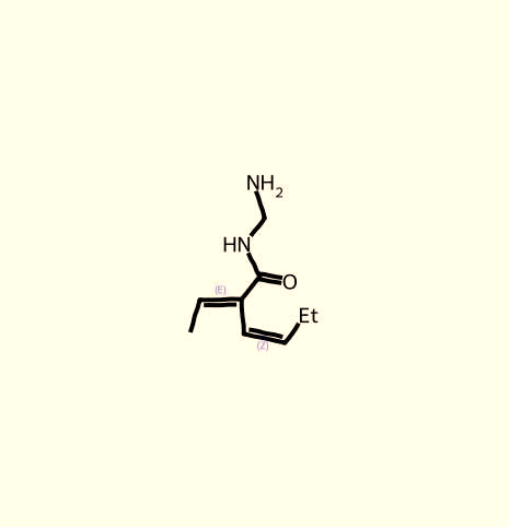 C/C=C(\C=C/CC)C(=O)NCN